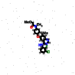 COCC(=O)N(C)C1CCC(Oc2cc3c(Nc4cccc(Cl)c4F)ncnc3cc2OC)CC1